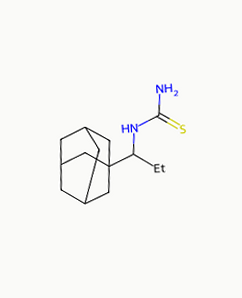 CCC(NC(N)=S)C12CC3CC(CC(C3)C1)C2